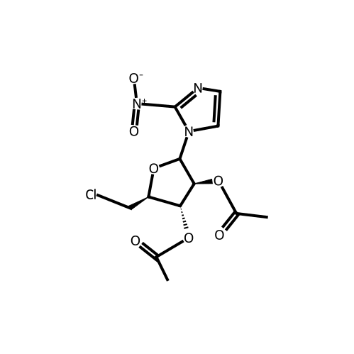 CC(=O)O[C@H]1[C@H](OC(C)=O)C(n2ccnc2[N+](=O)[O-])O[C@@H]1CCl